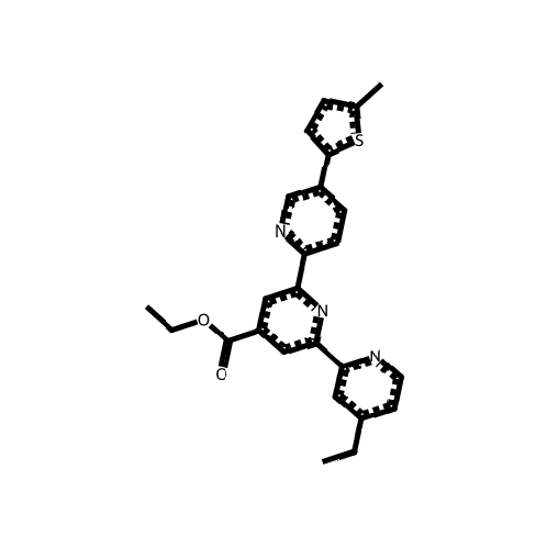 CCOC(=O)c1cc(-c2ccc(-c3ccc(C)s3)cn2)nc(-c2cc(CC)ccn2)c1